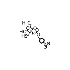 CCCC(=O)N(OC(=O)OCc1ccc([N+](=O)[O-])cc1)C(CS)C(=O)O